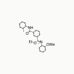 CCO/C(=N\c1ccccc1OC)c1cccc(C(=O)Nc2ccccc2C)c1